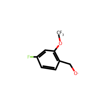 [O]Cc1ccc(F)cc1OC(F)(F)F